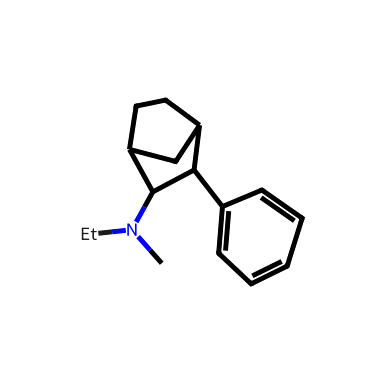 CCN(C)C1C2CCC(C2)C1c1ccccc1